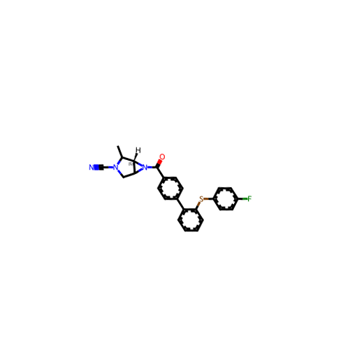 CC1[C@H]2C(CN1C#N)N2C(=O)c1ccc(-c2ccccc2Sc2ccc(F)cc2)cc1